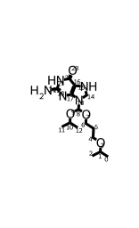 CC(C)OCCCOC(OC(C)C)N1CNc2c1nc(N)[nH]c2=O